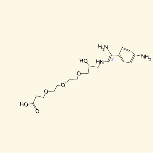 N/C(=C\NCC(O)COCCOCCOCCC(=O)O)c1ccc(N)cc1